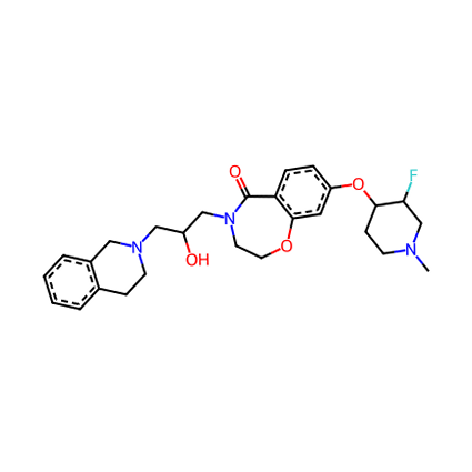 CN1CCC(Oc2ccc3c(c2)OCCN(CC(O)CN2CCc4ccccc4C2)C3=O)C(F)C1